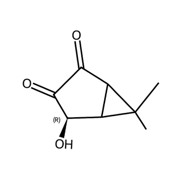 CC1(C)C2C(=O)C(=O)[C@H](O)C21